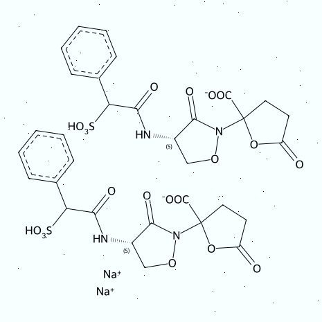 O=C1CCC(C(=O)[O-])(N2OC[C@H](NC(=O)C(c3ccccc3)S(=O)(=O)O)C2=O)O1.O=C1CCC(C(=O)[O-])(N2OC[C@H](NC(=O)C(c3ccccc3)S(=O)(=O)O)C2=O)O1.[Na+].[Na+]